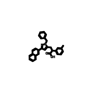 Cc1cccc(C(Cc2cc(-c3ccc4ccccc4c3)nn2Cc2ccccc2)C(=O)O)c1